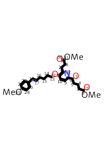 COC(=O)CCCC(=O)c1ccc(OCCCC/C=C/c2ccc(OC)cc2)c(CCC(=O)OC)n1